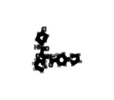 O=C(Nc1ccc(Cl)cc1)c1oc2cccnc2c1NC(=O)C1CCC(N2CCCC2)CC1